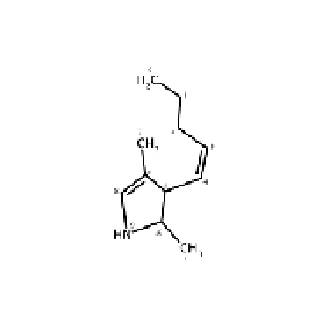 CCC/C=C\C1C(C)=CNC1C